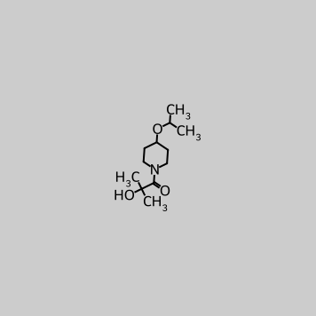 CC(C)OC1CCN(C(=O)C(C)(C)O)CC1